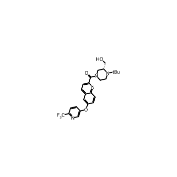 CC(C)(C)N1CCN(C(=O)c2ccc3cc(Oc4ccc(C(F)(F)F)nc4)ccc3n2)C[C@@H]1CO